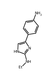 CCNc1nc(-c2ccc(N)cc2)c[nH]1